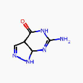 NC1=NC2NN=CC2C(=O)N1